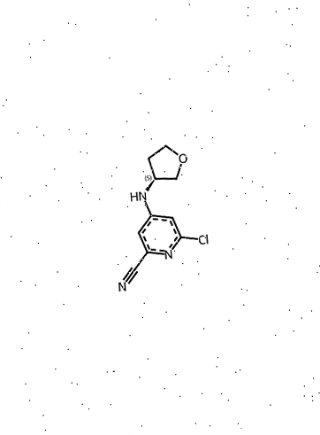 N#Cc1cc(N[C@H]2CCOC2)cc(Cl)n1